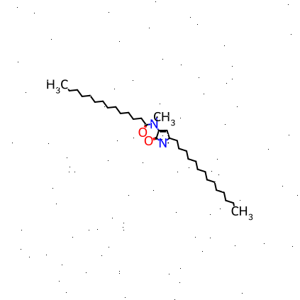 CCCCCCCCCCCCCCC1C=C(N(C)C(=O)CCCCCCCCCCCCC)C(=O)[N]1